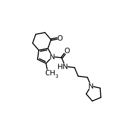 Cc1cc2c(n1C(=O)NCCCN1CCCC1)C(=O)CCC2